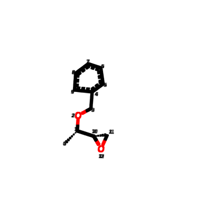 C[C@H](OCc1ccccc1)[C@@H]1CO1